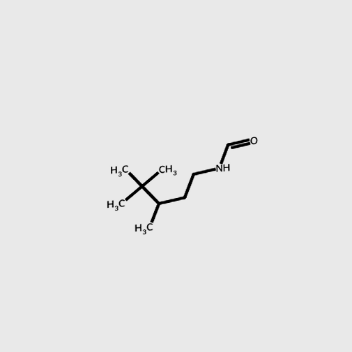 CC(CCNC=O)C(C)(C)C